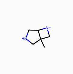 CC12CNCC1NC2